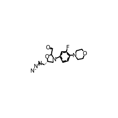 [N-]=[N+]=NC[C@H]1CN(c2ccc(N3CCOCC3)c(F)c2)C(C=O)O1